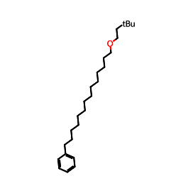 CC(C)(C)CCOCCCCCCCCCCCCCCc1ccccc1